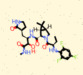 CC[C@@H](Nc1c(F)cc(F)cc1F)C(=O)N1C[C@H]2[C@@H]([C@H]1C(=O)N[C@H](C[C@@H]1CCNC1=O)C(O)C(=O)NC)C2(C)C